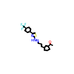 CC(=O)c1cccc(C=CC=NNc2nc(-c3ccc(C(F)(F)F)cc3)cs2)c1